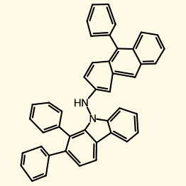 c1ccc(-c2ccc3c4ccccc4n(Nc4ccc5c(-c6ccccc6)c6ccccc6cc5c4)c3c2-c2ccccc2)cc1